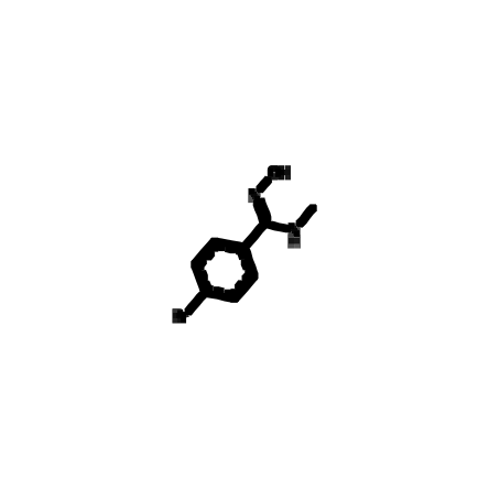 CNC(=NO)c1ccc(Br)cc1